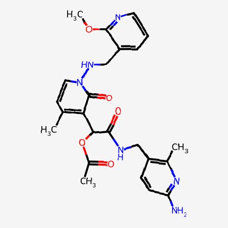 COc1ncccc1CNn1ccc(C)c(C(OC(C)=O)C(=O)NCc2ccc(N)nc2C)c1=O